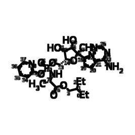 CCC(CC)COC(=O)[C@H](C)NP(=O)(OC[C@H]1O[C@@](C)(c2ccc3c(N)ncnn23)[C@H](O)[C@@H]1O)Oc1ccccn1